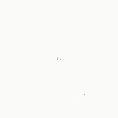 CCC(=Cc1ccccc1)C1C[C@@H]1NC1CCC(NC(C)=O)CC1